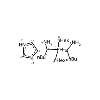 CCCCCC[PH](CCCCCC)(C(N)CCCC)C(N)CCCC.c1c[nH]cn1